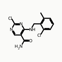 Cc1cccc(Cl)c1CNc1nc(Cl)ncc1C(N)=O